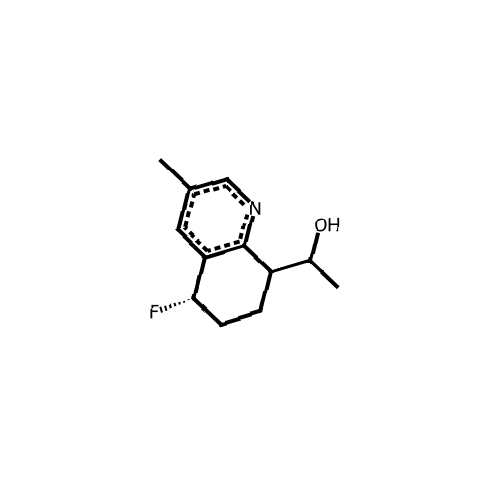 Cc1cnc2c(c1)[C@@H](F)CCC2C(C)O